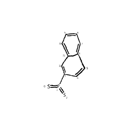 S=P(=S)c1ccc2ccccc2c1